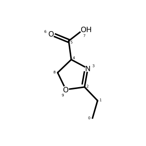 CCC1=NC(C(=O)O)CO1